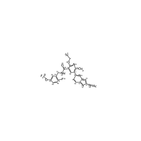 [2H]COc1nc(C)c(-c2ccc3nc(NC(C)=O)cn3n2)cc1C(=O)NCc1cc(OC(F)(F)F)ccc1F